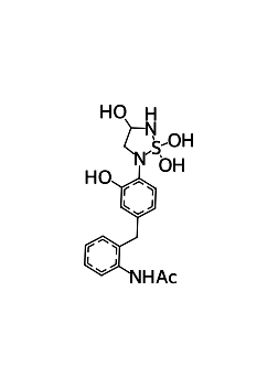 CC(=O)Nc1ccccc1Cc1ccc(N2CC(O)NS2(O)O)c(O)c1